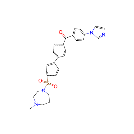 CN1CCCN(S(=O)(=O)c2ccc(-c3ccc(C(=O)c4ccc(-n5ccnc5)cc4)cc3)cc2)CC1